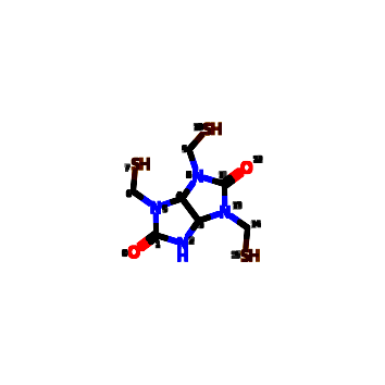 O=C1NC2C(N1CS)N(CS)C(=O)N2CS